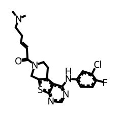 CN(C)CC/C=C/C(=O)N1CCc2c(sc3ncnc(Nc4ccc(F)c(Cl)c4)c23)C1